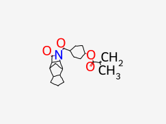 C=C(C)C(=O)OC1CCC(C(=O)N2C(=O)C3C4CC(C5CCCC54)C32)CC1